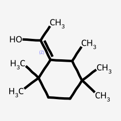 C/C(O)=C1\C(C)C(C)(C)CCC1(C)C